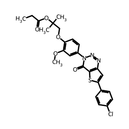 CCC(=O)OC(C)(C)COc1ccc(-n2nnc3cc(-c4ccc(Cl)cc4)sc3c2=O)cc1OC